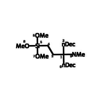 CCCCCCCCCCC(CCCCCCCCCC)(CC[Si](OC)(OC)OC)NC